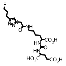 O=C(O)CC[C@H](NC(=O)NC(CCCCNC(=O)Cn1cc(CCCF)nn1)C(=O)O)C(=O)O